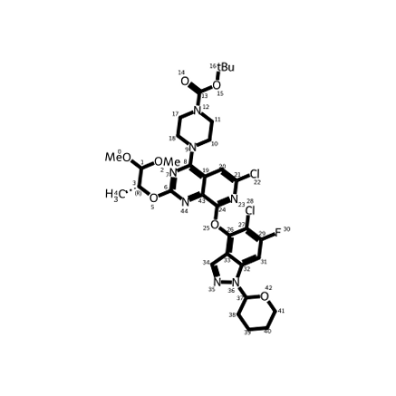 COC(OC)[C@@H](C)Oc1nc(N2CCN(C(=O)OC(C)(C)C)CC2)c2cc(Cl)nc(Oc3c(Cl)c(F)cc4c3cnn4C3CCCCO3)c2n1